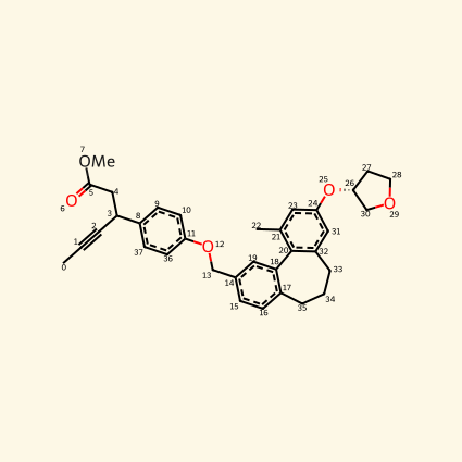 CC#CC(CC(=O)OC)c1ccc(OCc2ccc3c(c2)-c2c(C)cc(O[C@@H]4CCOC4)cc2CCC3)cc1